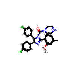 CCOc1cc(C)ccc1C1=NC(c2ccc(Cl)cc2)C(c2ccc(Cl)cc2)N1C(=O)N1CCNCC1